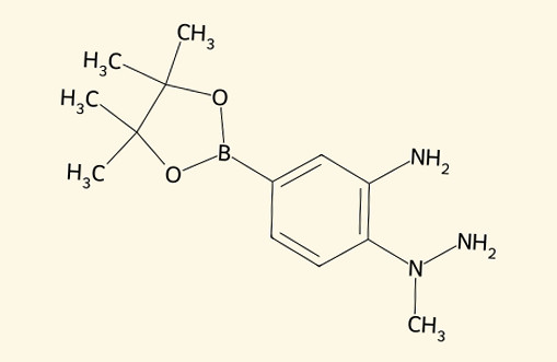 CN(N)c1ccc(B2OC(C)(C)C(C)(C)O2)cc1N